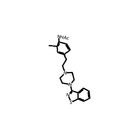 CC(=O)Nc1ccc(CCN2CCN(c3nsc4ccccc34)CC2)cc1C